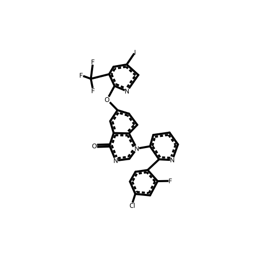 O=c1ncn(-c2cccnc2-c2ccc(Cl)cc2F)c2ccc(Oc3ncc(I)cc3C(F)(F)F)cc12